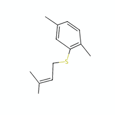 CC(C)=CCSc1cc(C)ccc1C